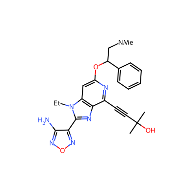 CCn1c(-c2nonc2N)nc2c(C#CC(C)(C)O)nc(OC(CNC)c3ccccc3)cc21